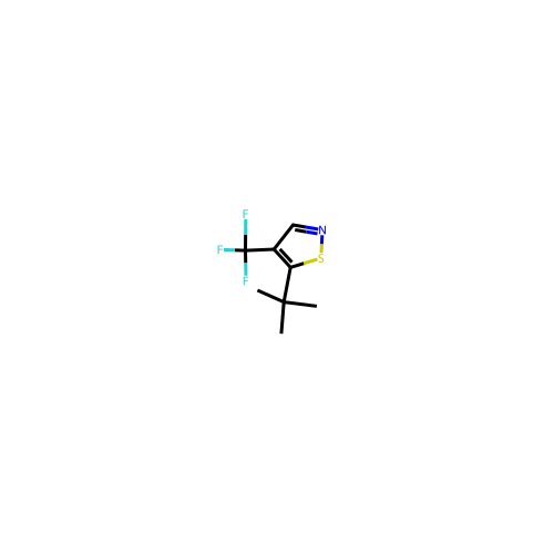 CC(C)(C)c1sncc1C(F)(F)F